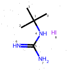 CC(C)(C)NC(=N)N.I